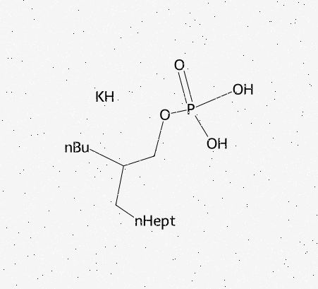 CCCCCCCCC(CCCC)COP(=O)(O)O.[KH]